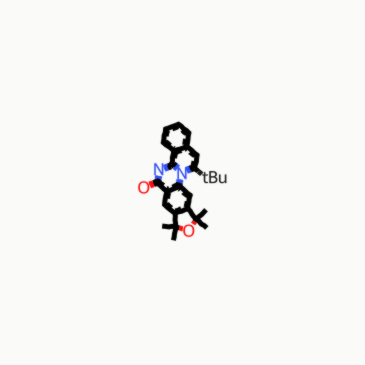 CC(C)(C)c1cc2ccccc2c2nc(=O)c3cc4c(cc3n12)C(C)(C)OC4(C)C